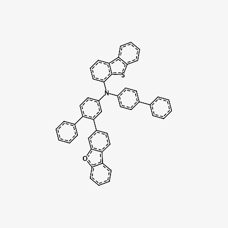 c1ccc(-c2ccc(N(c3ccc(-c4ccccc4)c(-c4ccc5c(c4)oc4ccccc45)c3)c3cccc4c3sc3ccccc34)cc2)cc1